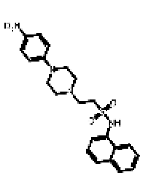 O=[N+]([O-])c1ccc(N2CCN(CCS(=O)(=O)Nc3cccc4ccccc34)CC2)cc1